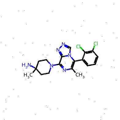 Cc1nc(N2CCC(C)(N)CC2)c2nncn2c1-c1cccc(Cl)c1Cl